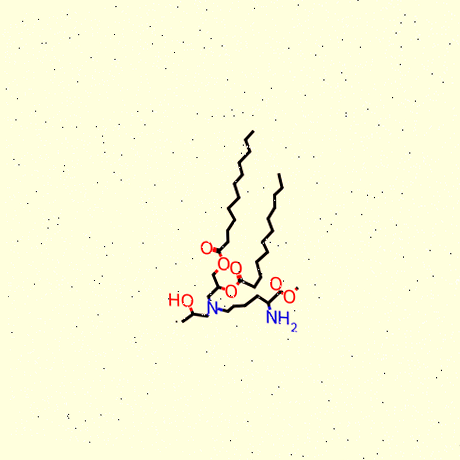 [CH2]C(O)CN(CCCCC(N)C(=O)OC)CC(COC(=O)CCCCCCCCCCC)OC(=O)CCCCCCCCCCC